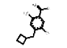 C=C(CC)c1cc(C#N)c(CC2CCC2)cc1C